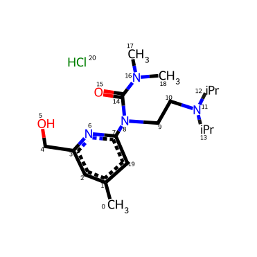 Cc1cc(CO)nc(N(CCN(C(C)C)C(C)C)C(=O)N(C)C)c1.Cl